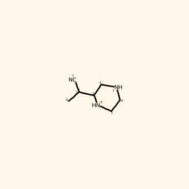 CC(C#N)C1CNCCN1